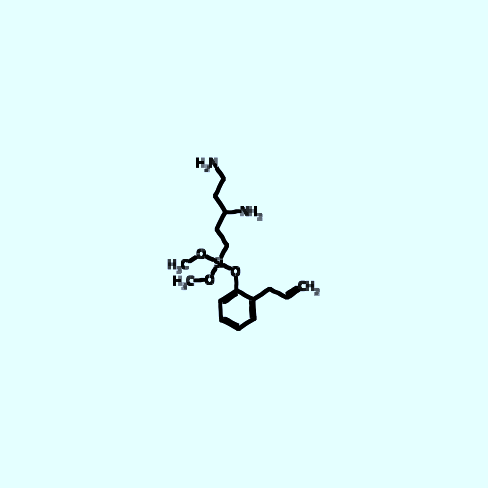 C=CCc1ccccc1O[Si](CCC(N)CCN)(OC)OC